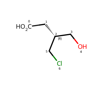 O=C(O)C[C@H](CO)CCl